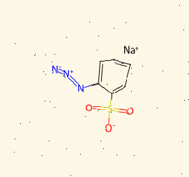 [N-]=[N+]=Nc1ccccc1S(=O)(=O)[O-].[Na+]